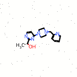 C[C@@H](O)c1nccc(N2CCN(Cc3ccccn3)CC2)n1